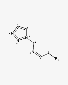 FC/C=N\Cn1ccnn1